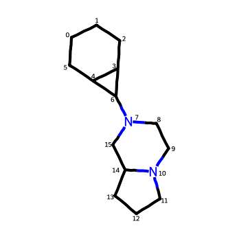 C1CCC2C(C1)C2N1CCN2CCCC2C1